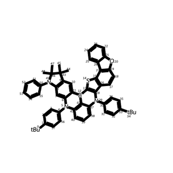 CC(C)(C)c1ccc(N2c3cc4c(cc3B3c5sc6c(ccc7oc8ccccc8c76)c5N(c5ccc(C(C)(C)C)cc5)c5cccc2c53)C(C)(C)C(C)(C)N4c2ccccc2)cc1